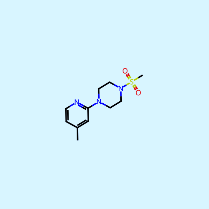 Cc1ccnc(N2CCN(S(C)(=O)=O)CC2)c1